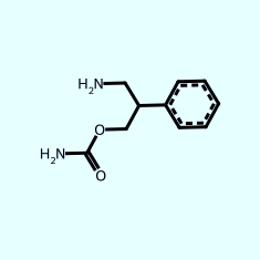 NCC(COC(N)=O)c1ccccc1